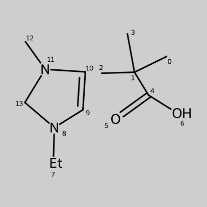 CC(C)(C)C(=O)O.CCN1C=CN(C)C1